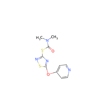 CN(C)C(=O)Sc1nsc(Oc2ccncc2)n1